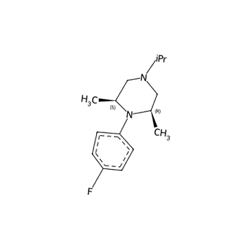 CC(C)N1C[C@@H](C)N(c2ccc(F)cc2)[C@@H](C)C1